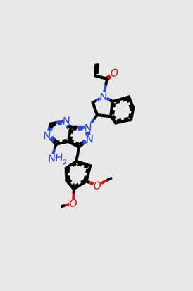 C=CC(=O)N1CC(n2nc(-c3ccc(OC)c(OC)c3)c3c(N)ncnc32)c2ccccc21